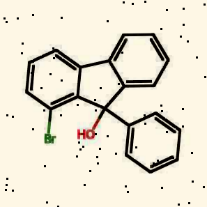 OC1(c2ccccc2)c2ccccc2-c2cccc(Br)c21